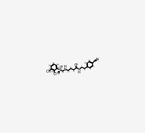 N#Cc1ccc(CCNC(=O)CCCNCS(=O)(=O)c2cccc(Cl)c2Cl)cc1